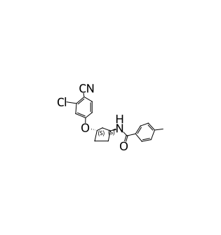 Cc1ccc(C(=O)N[C@H]2CC[C@H](Oc3ccc(C#N)c(Cl)c3)C2)cc1